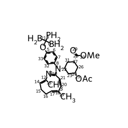 BC(B)(P)Oc1ccc(N(C2=N/C(C)=C/CC/C=C(C)/C=C\2)[C@H]2C[C@@H](OC(C)=O)C[C@@H](C(=O)OC)C2)cc1